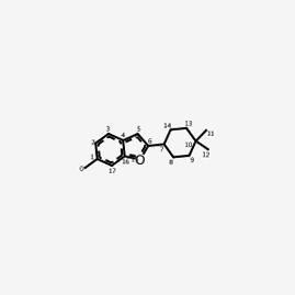 Cc1ccc2cc(C3CCC(C)(C)CC3)oc2c1